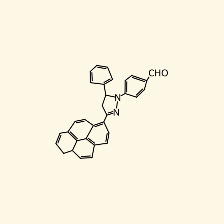 O=Cc1ccc(N2N=C(c3ccc4c5c6c(ccc35)C=CCC6C=C4)CC2c2ccccc2)cc1